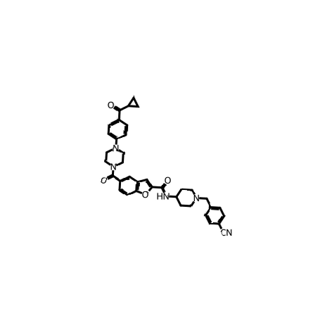 N#Cc1ccc(CN2CCC(NC(=O)c3cc4cc(C(=O)N5CCN(c6ccc(C(=O)C7CC7)cc6)CC5)ccc4o3)CC2)cc1